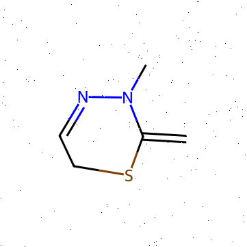 C=C1SCC=NN1C